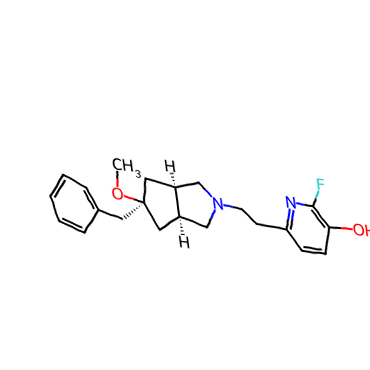 CO[C@@]1(Cc2ccccc2)C[C@H]2CN(CCc3ccc(O)c(F)n3)C[C@H]2C1